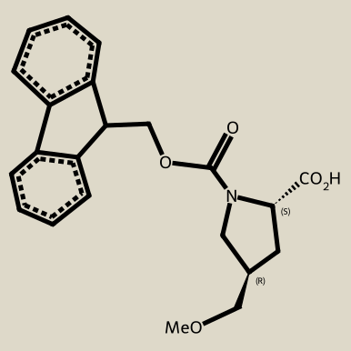 COC[C@@H]1C[C@@H](C(=O)O)N(C(=O)OCC2c3ccccc3-c3ccccc32)C1